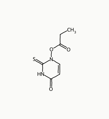 CCC(=O)On1ccc(=O)[nH]c1=S